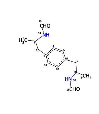 CC(Cc1ccc(CC(C)NC=O)cc1)NC=O